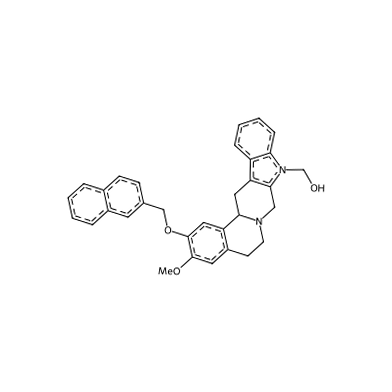 COc1cc2c(cc1OCc1ccc3ccccc3c1)C1Cc3c(n(CO)c4ccccc34)CN1CC2